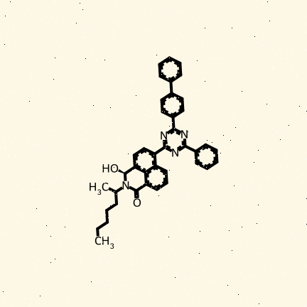 CCCCCC(C)N1C(=O)c2cccc3c(-c4nc(-c5ccccc5)nc(-c5ccc(-c6ccccc6)cc5)n4)ccc(c23)[C@@H]1O